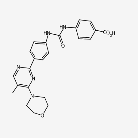 Cc1cnc(-c2ccc(NC(=O)Nc3ccc(C(=O)O)cc3)cc2)nc1N1CCOCC1